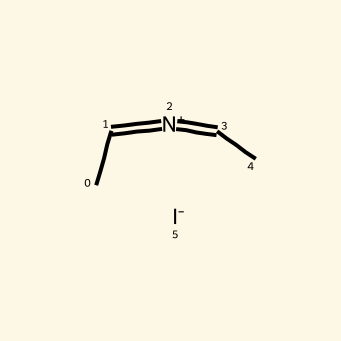 CC=[N+]=CC.[I-]